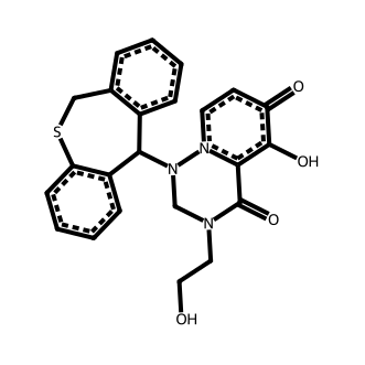 O=C1c2c(O)c(=O)ccn2N(C2c3ccccc3CSc3ccccc32)CN1CCO